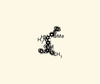 COc1cc(C2=CNC(N)C(c3ccc(NC(=O)c4cn(CC5CCOCC5)cc(C5C=CC(C)=CN5)c4=O)cc3)=C2)ccc1OCC1COCCO1